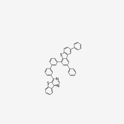 c1ccc(-c2ccc3sc4c(-c5cccc(-c6cccc(-c7ncnc8c7sc7ccccc78)c6)c5)cc(-c5ccccc5)cc4c3c2)cc1